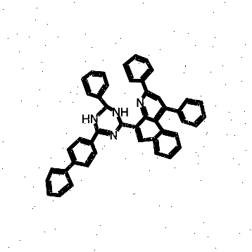 c1ccc(-c2ccc(C3=NC(c4cc5ccccc5c5c(-c6ccccc6)cc(-c6ccccc6)nc45)NC(c4ccccc4)N3)cc2)cc1